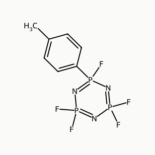 Cc1ccc(P2(F)=NP(F)(F)=NP(F)(F)=N2)cc1